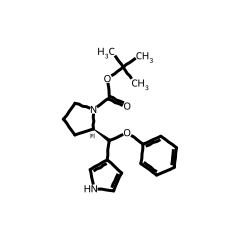 CC(C)(C)OC(=O)N1CCC[C@@H]1C(Oc1ccccc1)c1cc[nH]c1